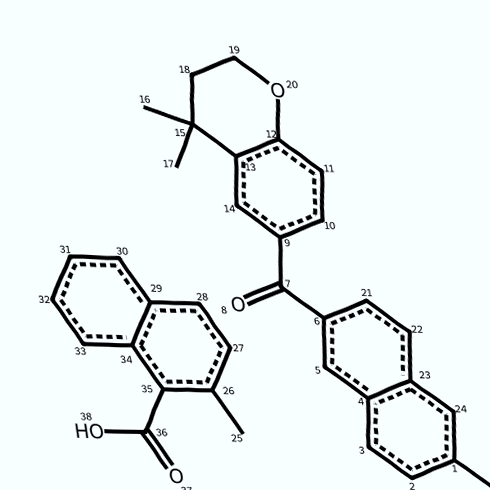 Cc1ccc2cc(C(=O)c3ccc4c(c3)C(C)(C)CCO4)ccc2c1.Cc1ccc2ccccc2c1C(=O)O